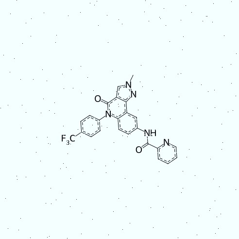 Cn1cc2c(=O)n(-c3ccc(C(F)(F)F)cc3)c3ccc(NC(=O)c4ccccn4)cc3c2n1